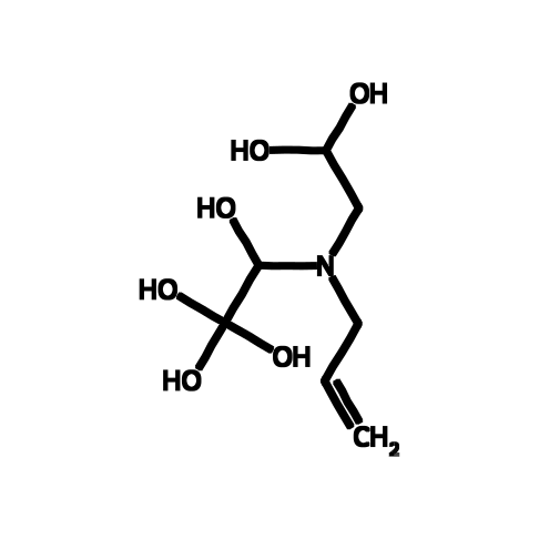 C=CCN(CC(O)O)C(O)C(O)(O)O